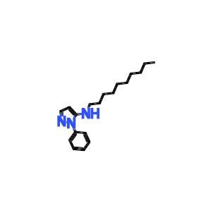 CCCCCCCCCCNc1ccnn1-c1ccccc1